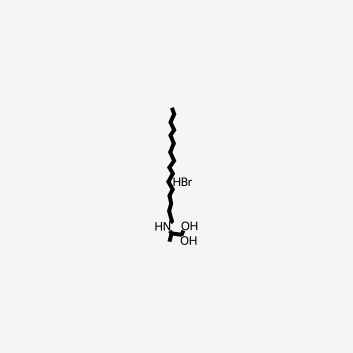 Br.CCCCCCCCCCCCCCCCNC(C)C(O)O